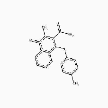 Cc1ccc(Cn2c(C(N)=O)c(C)c(=O)c3ccccc32)cc1